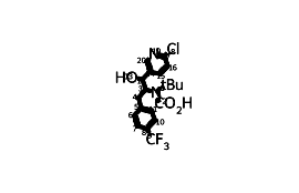 CC(C)(C)N(C(=O)O)C(Cc1ccc(C(F)(F)F)cc1)C(O)c1ccc(Cl)nc1